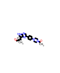 CC(=O)N1CCN(c2ccc(-c3cnc4[nH]cc(CC(C)(C)C=O)c4n3)cc2)CC1